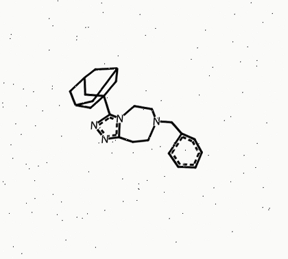 c1ccc(CN2CCc3nnc(C45CC6CC(CC(C6)C4)C5)n3CC2)cc1